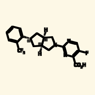 O=C(O)c1nc(N2C[C@H]3C[C@H](c4ccccc4C(F)(F)F)C[C@H]3C2)ncc1F